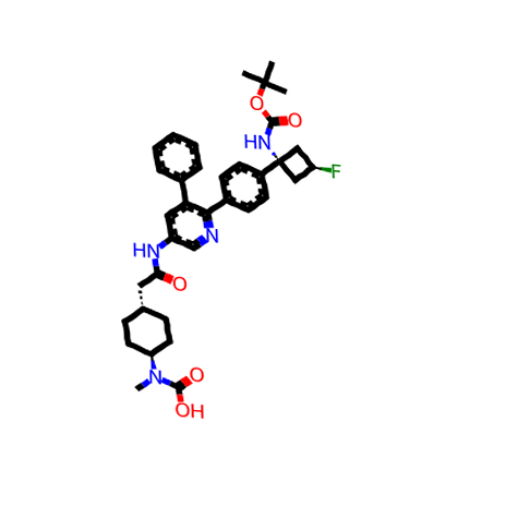 CN(C(=O)O)[C@H]1CC[C@H](CC(=O)Nc2cnc(-c3ccc([C@]4(NC(=O)OC(C)(C)C)C[C@H](F)C4)cc3)c(-c3ccccc3)c2)CC1